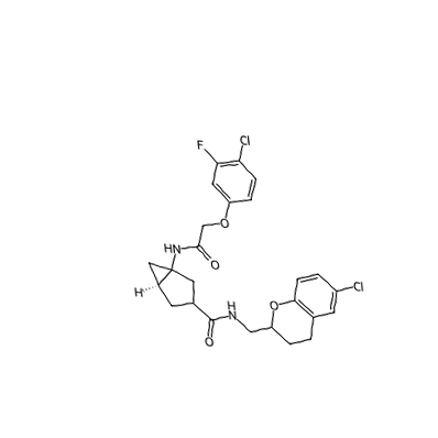 O=C(COc1ccc(Cl)c(F)c1)NC12CC(C(=O)NCC3CCc4cc(Cl)ccc4O3)C[C@H]1C2